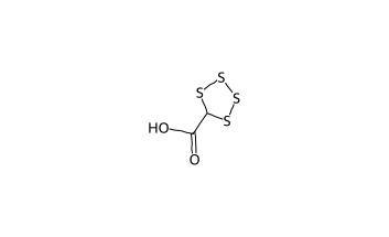 O=C(O)C1SSSS1